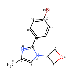 FC(F)(F)c1cn(C2COC2)c(-c2ccc(Br)cc2)n1